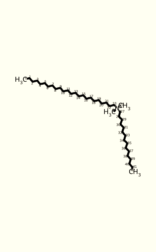 CCCCCCCCCCCCCCCCCCCCCCCC[N+](C)(C)CCCCCCCCCCCCCCCC